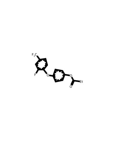 CCC(=O)Oc1ccc(Oc2ccc(C(F)(F)F)cc2F)cc1